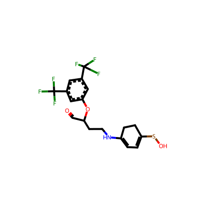 O=CC(CCNC1=CC=C(SO)CC1)Oc1cc(C(F)(F)F)cc(C(F)(F)F)c1